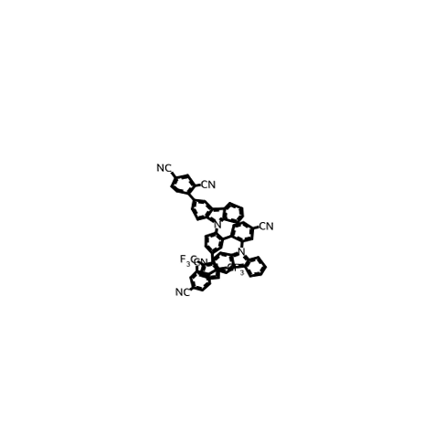 N#Cc1ccc(-c2ccc3c(c2)c2ccccc2n3-c2ccc(-c3c(C(F)(F)F)cccc3C(F)(F)F)cc2-c2ccc(C#N)cc2-n2c3ccccc3c3cc(-c4ccc(C#N)cc4C#N)ccc32)c(C#N)c1